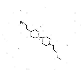 CCCCC[C@H]1CC[C@H]([C@H]2CC[C@H](CCBr)CC2)CC1